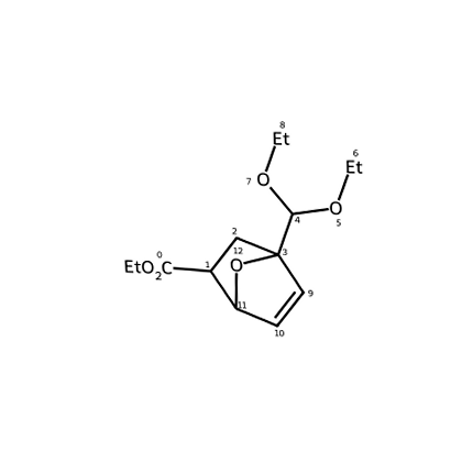 CCOC(=O)C1CC2(C(OCC)OCC)C=CC1O2